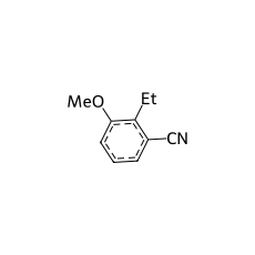 CCc1c(C#N)cccc1OC